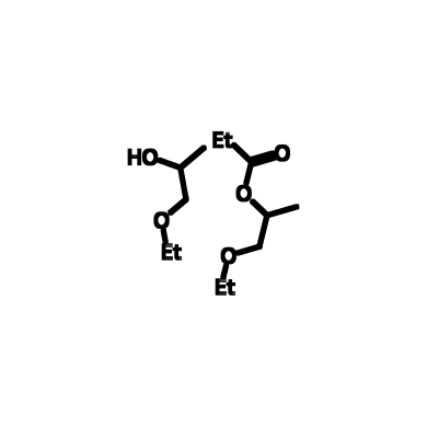 CCOCC(C)O.CCOCC(C)OC(=O)CC